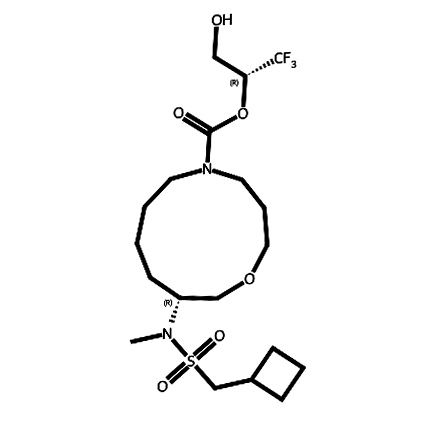 CN([C@@H]1CCCCN(C(=O)O[C@H](CO)C(F)(F)F)CCCOC1)S(=O)(=O)CC1CCC1